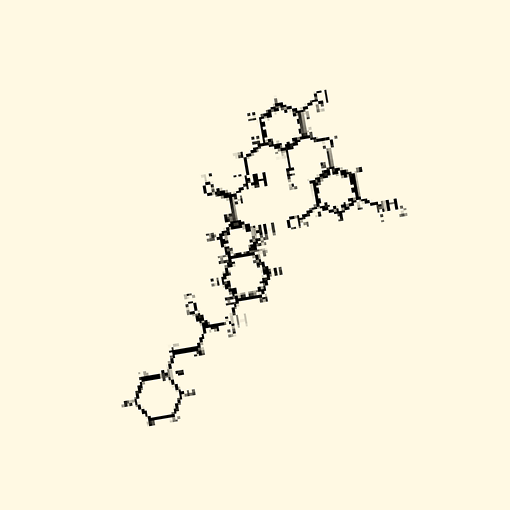 Nc1cc(Cl)cc(Oc2c(Cl)ccc(CNC(=O)c3cc4cc(NC(=O)CCN5CCCCC5)ccc4[nH]3)c2F)c1